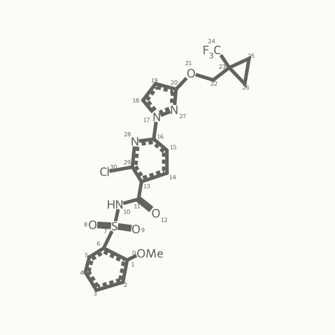 COc1ccccc1S(=O)(=O)NC(=O)c1ccc(-n2ccc(OCC3(C(F)(F)F)CC3)n2)nc1Cl